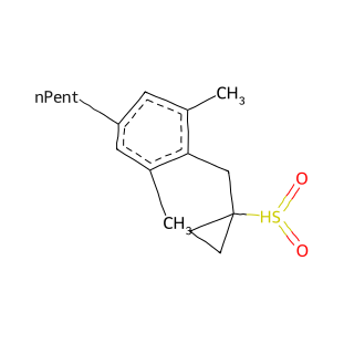 CCCCCc1cc(C)c(CC2([SH](=O)=O)CC2)c(C)c1